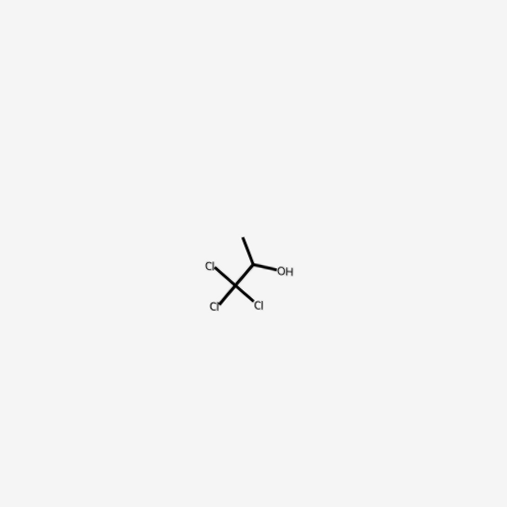 CC(O)C(Cl)(Cl)Cl